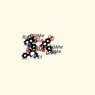 CCC1=CC2CN(C1)Cc1c([nH]c3ccccc13)[C@@](C(=O)OC)(c1cc3c(cc1OC)N(C)[C@H]1[C@@](O)(C(=O)OC)[C@H](OC(C)=O)[C@]4(CC)C=CCN5CC[C@]31[C@@H]54)C2.COc1cc([C@@H]2c3cc4c(cc3[C@H](O)C3COC(=O)[C@H]32)OCO4)cc(OC)c1OC